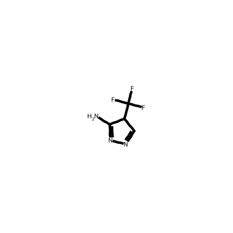 NC1=NN=CC1C(F)(F)F